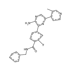 Cc1cnccc1-c1cnc(N)c(-c2ccc(C(=O)NCc3ccccc3)c(F)c2)n1